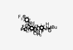 Cn1c(Nc2c(Cl)ccc(CNC(=O)C(C)(C)C)c2F)nc2cc(C(=O)N[C@H]3CC[C@H](C(F)(F)F)CC3)c(N3CCC(F)(F)C3)cc21